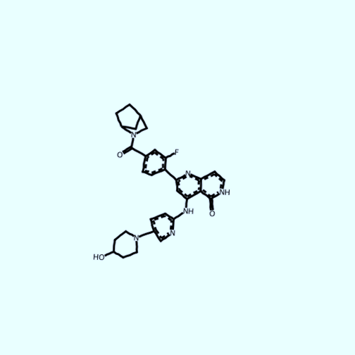 O=C(c1ccc(-c2cc(Nc3ccc(N4CCC(O)CC4)cn3)c3c(=O)[nH]ccc3n2)c(F)c1)N1CC2CCC1C2